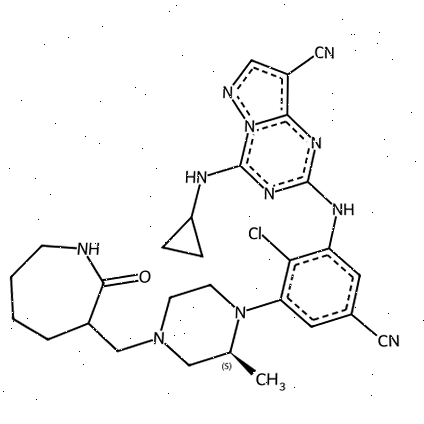 C[C@H]1CN(CC2CCCCNC2=O)CCN1c1cc(C#N)cc(Nc2nc(NC3CC3)n3ncc(C#N)c3n2)c1Cl